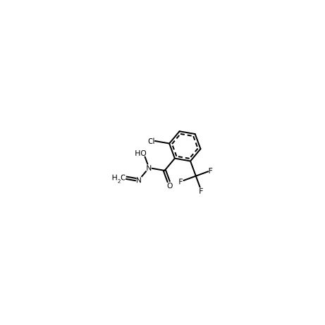 C=NN(O)C(=O)c1c(Cl)cccc1C(F)(F)F